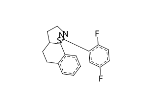 Fc1ccc(F)c(C2=NN3CCC4CCc5ccccc5C43S2)c1